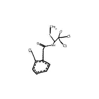 CSC(NC(=O)c1ccccc1Cl)C(Cl)(Cl)Cl